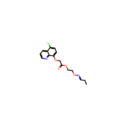 CCC=NOCCOC(=O)COc1ccc(Cl)c2cccnc12